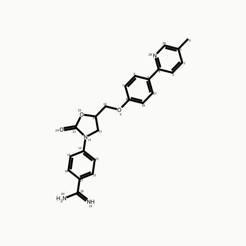 Cc1ccc(-c2ccc(OCC3CN(c4ccc(C(=N)N)cc4)C(=O)O3)cc2)nc1